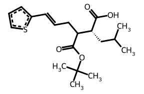 CC(C)C[C@@H](C(=O)O)C(CC=Cc1cccs1)C(=O)OC(C)(C)C